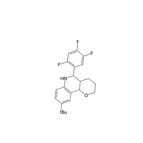 CC(C)(C)c1ccc2c(c1)C1OCCCC1C(c1cc(F)c(F)cc1F)N2